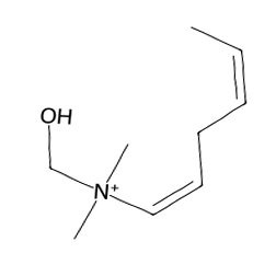 C/C=C\C/C=C\[N+](C)(C)CO